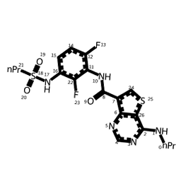 CCCNc1ncnc2c(C(=O)Nc3c(F)ccc(NS(=O)(=O)CCC)c3F)csc12